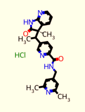 Cc1cc(CNC(=O)c2ccc(C(C)[C@@]3(C)C(=O)Nc4ncccc43)cn2)cc(C)n1.Cl